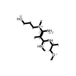 CNC(NC(C)COC)/C(C)=C(\N)N(C)CCCO